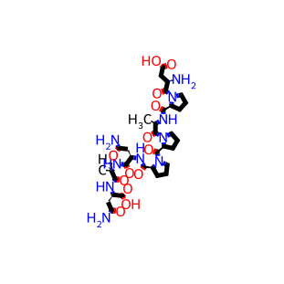 C[C@H](NC(=O)[C@H](CC(N)=O)NC(=O)[C@@H]1CCCN1C(=O)[C@@H]1CCCN1C(=O)[C@H](C)NC(=O)[C@@H]1CCCN1C(=O)[C@@H](N)CC(=O)O)C(=O)N[C@@H](CC(N)=O)C(=O)O